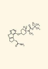 CN(C(=O)OC(C)(C)C)[C@]1(C)CC[C@@H](Oc2ncnc3sc4c(c23)[C@@H](CC(N)=O)CC4)CC1